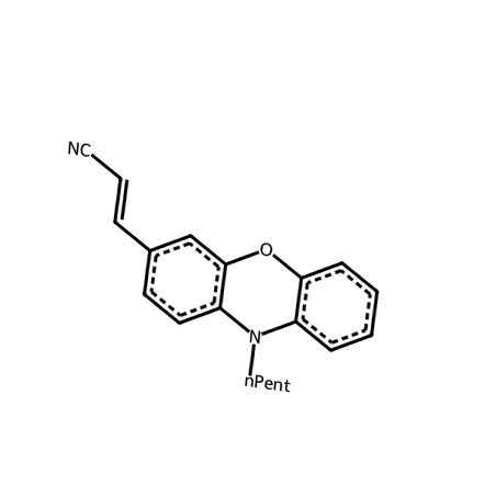 CCCCCN1c2ccccc2Oc2cc(C=CC#N)ccc21